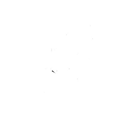 O=C(C(Cl)OCl)[C@@H](O)[C@H](O)[C@H](O)CO